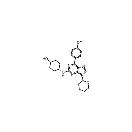 COc1ccc(-c2nc(N[C@H]3CC[C@H](O)CC3)nc3c2ncn3C2CCCCO2)cc1